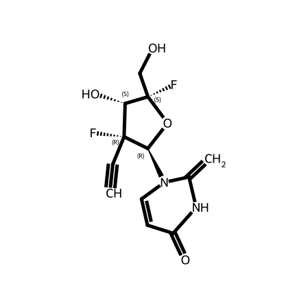 C#C[C@]1(F)[C@H](N2C=CC(=O)NC2=C)O[C@](F)(CO)[C@H]1O